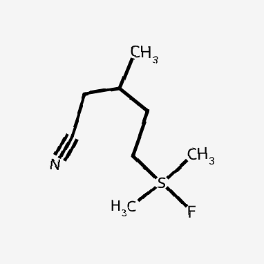 CC(CC#N)CCS(C)(C)F